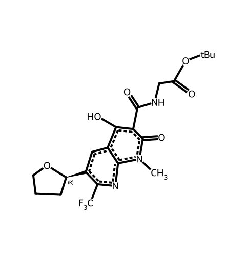 Cn1c(=O)c(C(=O)NCC(=O)OC(C)(C)C)c(O)c2cc([C@H]3CCCO3)c(C(F)(F)F)nc21